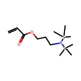 C=CC(=O)OCCCN([Si](C)(C)C)[Si](C)(C)C